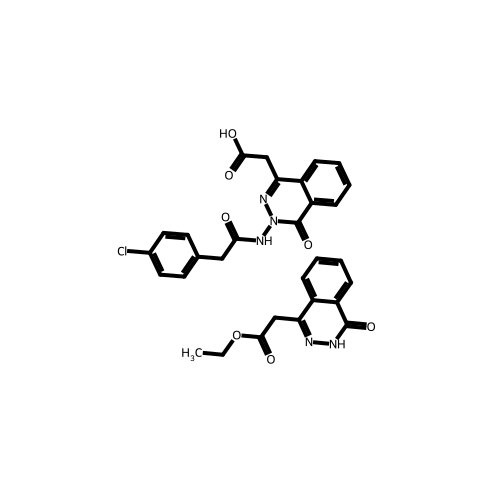 CCOC(=O)Cc1n[nH]c(=O)c2ccccc12.O=C(O)Cc1nn(NC(=O)Cc2ccc(Cl)cc2)c(=O)c2ccccc12